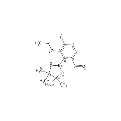 CCOc1c(F)ccc(C=O)c1B1OC(C)(C)C(C)(C)O1